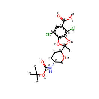 COC(=O)c1cc(Cl)c2c(c1Cl)OC(C)([C@@H]1CC[C@@H](NC(=O)OC(C)(C)C)CO1)O2